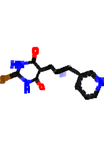 O=C1NC(=S)NC(=O)C1=C/C=C/c1cccnc1